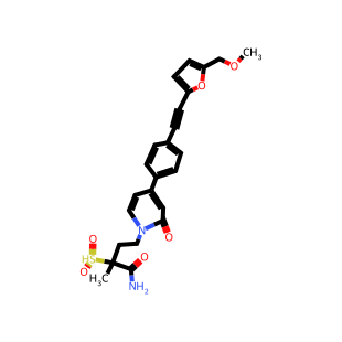 COCc1ccc(C#Cc2ccc(-c3ccn(CCC(C)(C(N)=O)[SH](=O)=O)c(=O)c3)cc2)o1